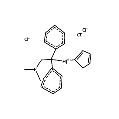 CP(C)C[C]([Hf+3][C]1=CC=CC1)(c1ccccc1)c1ccccc1.[Cl-].[Cl-].[Cl-]